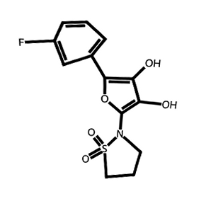 O=S1(=O)CCCN1c1oc(-c2cccc(F)c2)c(O)c1O